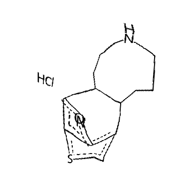 Cl.c1sc2c3noc2c1C1CCNCC31